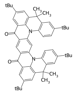 CC(C)(C)c1ccc2c(c1)C(C)(C)c1cc(C(C)(C)C)cc3c(=O)c4cc5c(=O)c6cc(C(C)(C)C)cc7c6n(c5cc4n-2c13)-c1ccc(C(C)(C)C)cc1C7(C)C